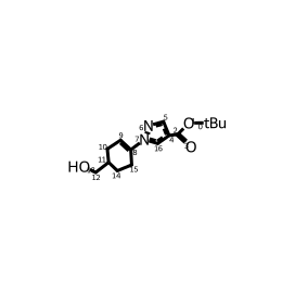 CC(C)(C)OC(=O)c1cnn(C2=CCC(CO)CC2)c1